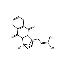 CC(C)=CC[C@]12C=C[C@H](C1)C1C(=O)C3=C(CC=CC3)C(=O)C12